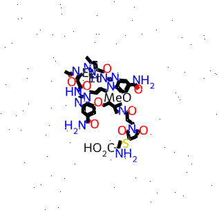 CCc1nc(C)oc1C(=O)Nc1nc2cc(C(N)=O)cc(OCCC3CN(C(=O)CCN4C(=O)CC(SC[C@H](N)C(=O)O)C4=O)C3)c2n1C/C=C/Cn1c(NC(=O)c2cc(C)nn2CC)nc2cc(C(N)=O)cc(OC)c21